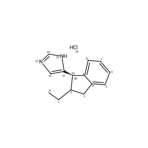 CCC1Cc2ccccc2[C@@H]1c1cnc[nH]1.Cl